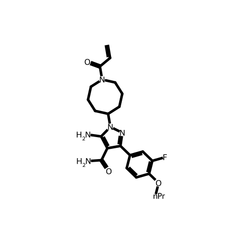 C=CC(=O)N1CCCC(n2nc(-c3ccc(OCCC)c(F)c3)c(C(N)=O)c2N)CCC1